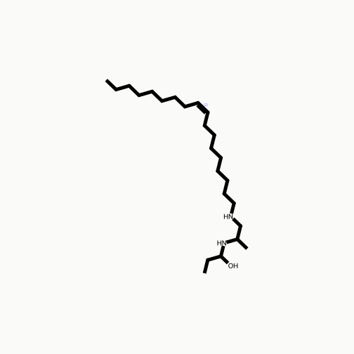 CCCCCCCC/C=C\CCCCCCCCNCC(C)NC(O)CC